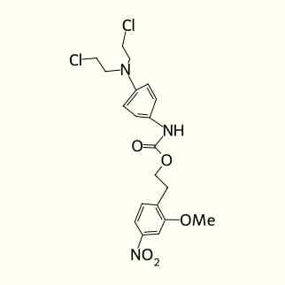 COc1cc([N+](=O)[O-])ccc1CCOC(=O)Nc1ccc(N(CCCl)CCCl)cc1